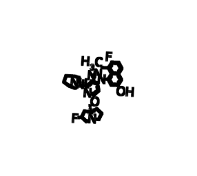 CCc1c(F)ccc2cc(O)cc(-n3nnc4c(N5CC6CCC(C5)N6)nc(OC[C@@]56CCCN5CC(F)C6)cc43)c12